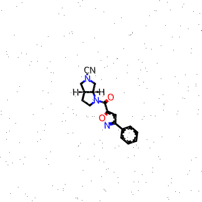 N#CN1C[C@H]2CCN(C(=O)c3cc(-c4ccccc4)no3)[C@H]2C1